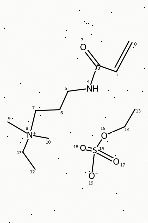 C=CC(=O)NCCC[N+](C)(C)CC.CCOS(=O)(=O)[O-]